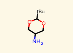 CC(C)(C)C1OCC(N)CO1